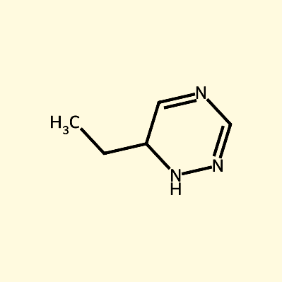 CCC1C=NC=NN1